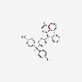 Cc1ccc(N(c2ccc(C(C)(c3ccc(O)cc3)c3ccc(O)cc3)cc2)c2ccccc2-c2ccccc2)cc1